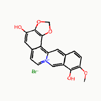 COc1ccc2cc3c4c5c(c(O)cc4cc[n+]3cc2c1O)OCO5.[Br-]